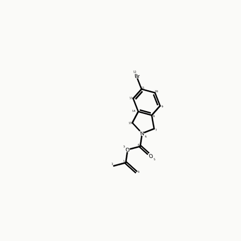 C=C(C)OC(=O)N1Cc2ccc(Br)cc2C1